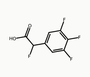 O=C(O)C(F)c1cc(F)c(F)c(F)c1